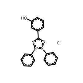 Oc1cccc(-c2nn(-c3ccccc3)[n+](-c3ccccc3)n2)c1.[Cl-]